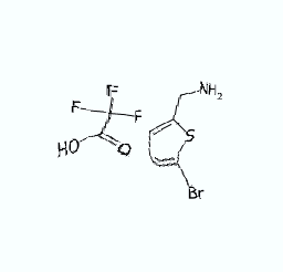 NCc1ccc(Br)s1.O=C(O)C(F)(F)F